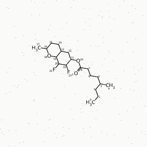 CCCC(C)CCCC(=O)OC1CC2CCC(C)OC2C(F)C1F